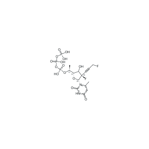 Cc1cc(=O)[nH]c(=O)n1[C@@H]1O[C@H]([C@H](C)OP(=O)(O)OP(=O)(O)OP(=O)(O)O)C(O)[C@]1(F)C#CCF